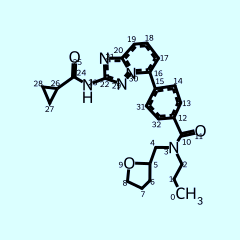 CCCN(CC1CCCO1)C(=O)c1ccc(-c2cccc3nc(NC(=O)C4CC4)nn23)cc1